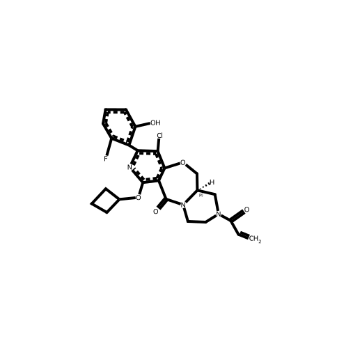 C=CC(=O)N1CCN2C(=O)c3c(OC4CCC4)nc(-c4c(O)cccc4F)c(Cl)c3OC[C@H]2C1